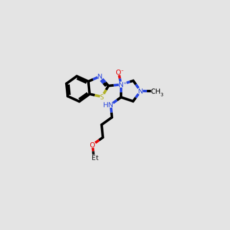 CCOCCCNC1CN(C)C[N+]1([O-])c1nc2ccccc2s1